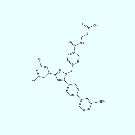 N#Cc1cccc(-c2ccc(-c3cc(C4C=C(Cl)C=C(Cl)C4)nn3Cc3ccc(C(=O)NCCC(=O)O)cc3)cc2)c1